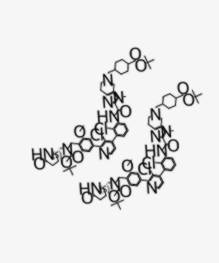 COc1cc(-c2nccc(-c3cccc(NC(=O)c4nc5c(n4C)CN(CC4CCC(C(=O)OC(C)(C)C)CC4)CC5)c3Cl)c2Cl)ccc1CN(C[C@@H]1CCC(=O)N1)C(=O)OC(C)(C)C.COc1cc(-c2nccc(-c3cccc(NC(=O)c4nc5c(n4C)CN(CC4CCC(C(=O)OC(C)(C)C)CC4)CC5)c3Cl)c2Cl)ccc1CN(C[C@@H]1CCC(=O)N1)C(=O)OC(C)(C)C